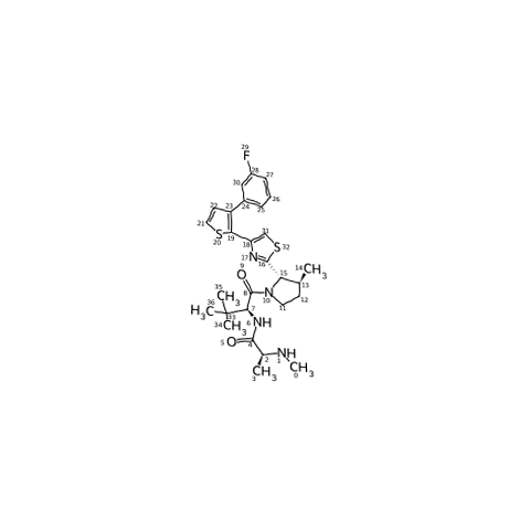 CN[C@@H](C)C(=O)N[C@H](C(=O)N1CC[C@H](C)[C@H]1c1nc(-c2sccc2-c2cccc(F)c2)cs1)C(C)(C)C